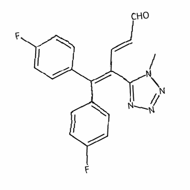 Cn1nnnc1C(C=CC=O)=C(c1ccc(F)cc1)c1ccc(F)cc1